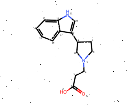 O=C(O)CCN1CCC(c2c[nH]c3ccccc23)C1